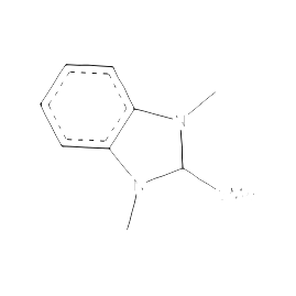 CSC1N(C)c2ccccc2N1C